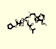 CC(C)OC(=O)COP(=O)(CO[C@H](C)Cn1cnc2c(N)ncnc21)NC(C)(C)C(=O)OC1CCCC1